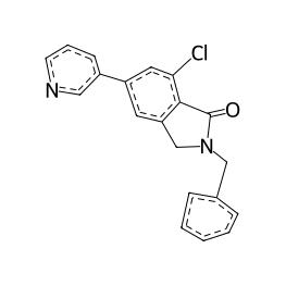 O=C1c2c(Cl)cc(-c3cccnc3)cc2CN1Cc1ccccc1